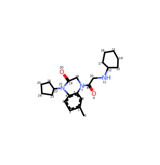 Cc1ccc2c(c1)N(C(=O)CNC1CCCCC1)CC(=O)N2C1CCCC1